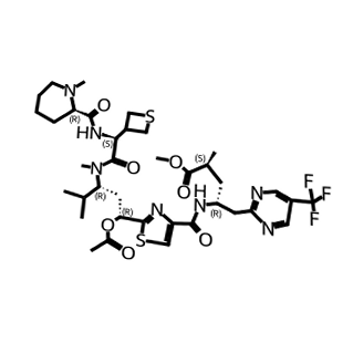 COC(=O)[C@@H](C)C[C@H](Cc1ncc(C(F)(F)F)cn1)NC(=O)c1csc([C@@H](C[C@H](C(C)C)N(C)C(=O)[C@@H](NC(=O)[C@H]2CCCCN2C)C2CSC2)OC(C)=O)n1